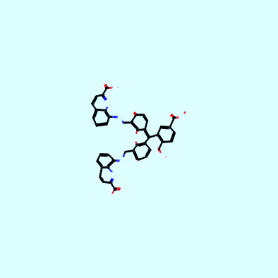 COC(=O)c1ccc(C(=O)O)c(-c2c3ccc(=O)c(CNc4cccc5ccc(C(=O)O)nc45)c-3oc3c(CNc4cccc5ccc(C(=O)O)nc45)c(O)ccc23)c1